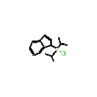 C[CH](C)[Ti]([Cl])([CH](C)C)[CH]1C=Cc2ccccc21